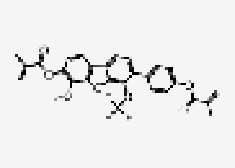 C=C(C)C(=O)Oc1ccc(-c2ccc3c(oc4c(OC)c(OC(=O)C(=C)C)ccc43)c2OC(F)(F)F)cc1